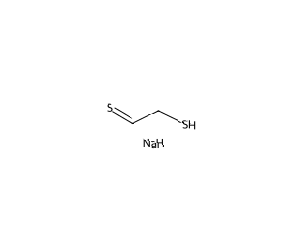 S=CCS.[NaH]